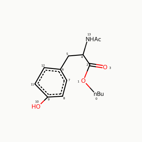 CCCCOC(=O)C(Cc1ccc(O)cc1)NC(C)=O